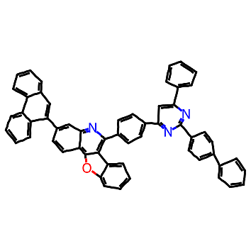 c1ccc(-c2ccc(-c3nc(-c4ccccc4)cc(-c4ccc(-c5nc6cc(-c7cc8ccccc8c8ccccc78)ccc6c6oc7ccccc7c56)cc4)n3)cc2)cc1